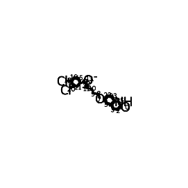 O=c1ccc2cc(OCCCC[S+]([O-])c3ccc(Cl)c(Cl)c3)ccc2[nH]1